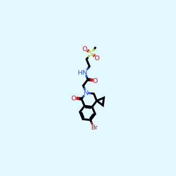 CS(=O)(=O)CCNC(=O)CN1CC2(CC2)c2cc(Br)ccc2C1=O